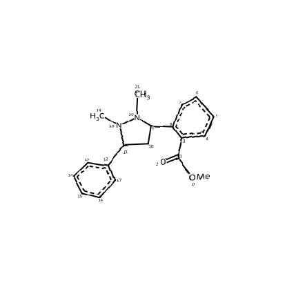 COC(=O)c1ccccc1C1CC(c2ccccc2)N(C)N1C